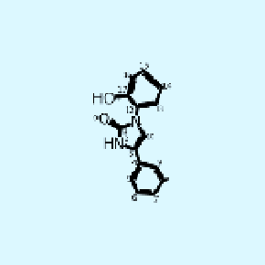 O=c1[nH]c(-c2ccccc2)cn1-c1ccccc1O